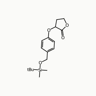 CC(C)(C)[Si](C)(C)OCc1ccc(OC2CCOC2=O)cc1